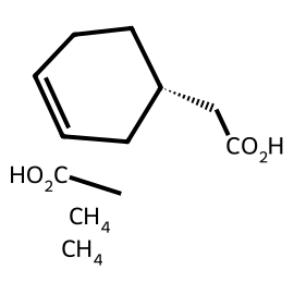 C.C.CC(=O)O.O=C(O)C[C@@H]1CC=CCC1